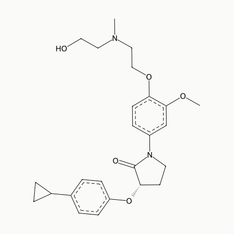 COc1cc(N2CC[C@H](Oc3ccc(C4CC4)cc3)C2=O)ccc1OCCN(C)CCO